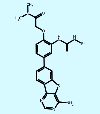 CCNC(=O)Nc1cc(-c2ccc3c(c2)sc2c(N)ncnc23)ccc1OCC(=O)N(C)C